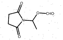 CC(O[C]=O)N1C(=O)CCC1=O